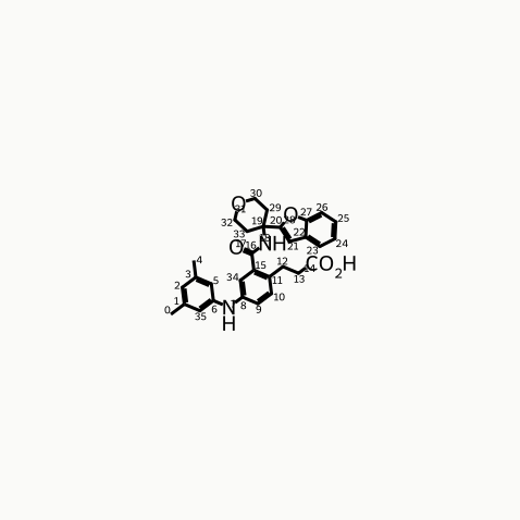 Cc1cc(C)cc(Nc2ccc(CCC(=O)O)c(C(=O)NC3(c4cc5ccccc5o4)CCOCC3)c2)c1